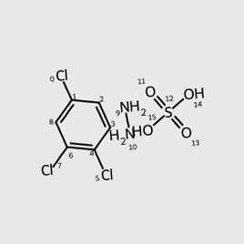 Clc1ccc(Cl)c(Cl)c1.NN.O=S(=O)(O)O